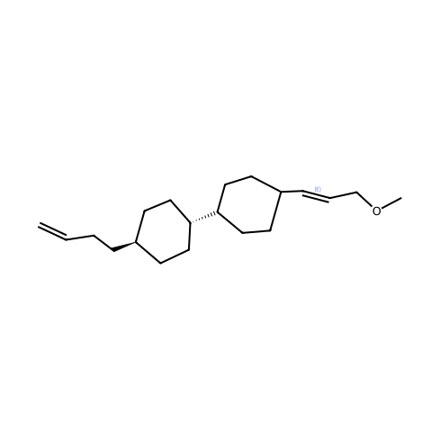 C=CCC[C@H]1CC[C@H](C2CCC(/C=C/COC)CC2)CC1